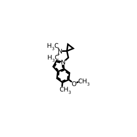 COc1cc2c(ccn2CC2(N(C)C)CC2)cc1C